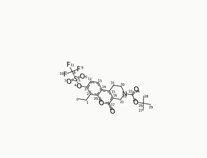 CCc1c(OS(=O)(=O)C(F)(F)F)ccc2c3c(c(=O)oc12)CN(C(=O)OC(C)(C)C)CC3